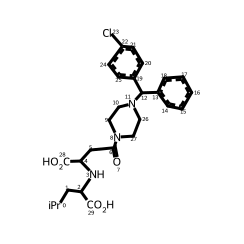 CC(C)CC(NC(CC(=O)N1CCN(C(c2ccccc2)c2ccc(Cl)cc2)CC1)C(=O)O)C(=O)O